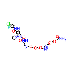 CN(CCCNC(=O)C(=O)NCc1ccc(C(=O)Nc2ccc(Cl)c(F)c2)cc1CN1CCCCC1)CCOCCOCCOCc1cn(CCOCCOCCC(N)=O)nn1